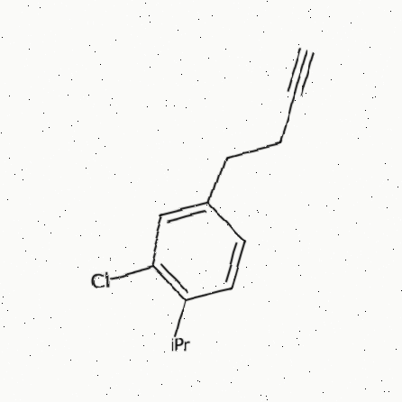 C#CCCc1ccc(C(C)C)c(Cl)c1